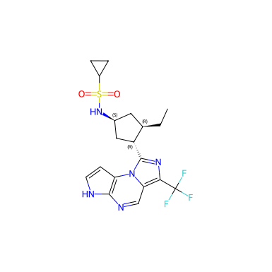 CC[C@@H]1C[C@H](NS(=O)(=O)C2CC2)C[C@H]1c1nc(C(F)(F)F)c2cnc3[nH]ccc3n12